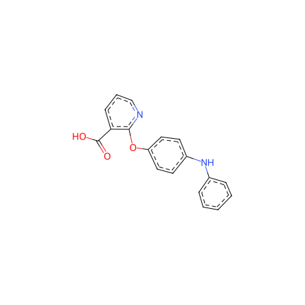 O=C(O)c1cccnc1Oc1ccc(Nc2ccccc2)cc1